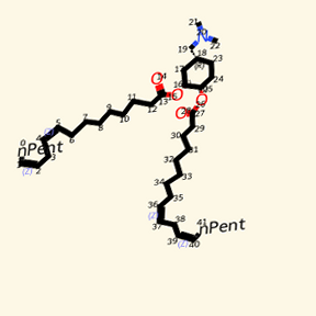 CCCCC/C=C\C/C=C\CCCCCCCC(=O)O[C@H]1C[C@H](CN(C)C)CC[C@H]1OC(=O)CCCCCCC/C=C\C/C=C\CCCCC